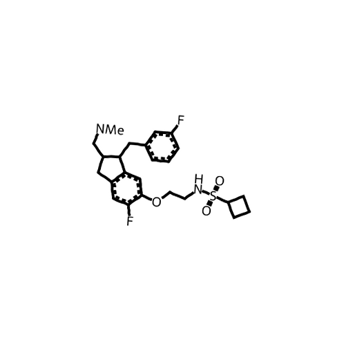 CNCC1Cc2cc(F)c(OCCNS(=O)(=O)C3CCC3)cc2C1Cc1cccc(F)c1